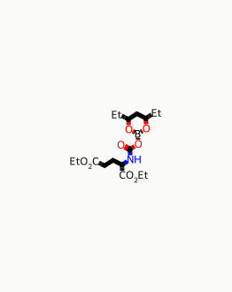 CCOC(=O)CCC(NC(=O)OB1OC(CC)CC(CC)O1)C(=O)OCC